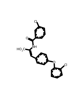 O=C(O)C(=Cc1ccc(Oc2ccccc2Cl)cc1)NC(=O)c1cccc(Cl)c1